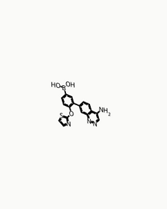 Nc1cnnc2cc(-c3cc(B(O)O)ccc3Oc3nccs3)ccc12